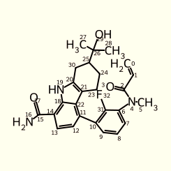 C=CC(=O)N(C)c1cccc(-c2ccc(C(N)=O)c3[nH]c4c(c23)CCC(C(C)(C)O)C4)c1F